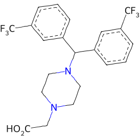 O=C(O)CN1CCN(C(c2cccc(C(F)(F)F)c2)c2cccc(C(F)(F)F)c2)CC1